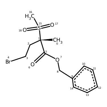 C[C@](CCBr)(C(=O)OCc1ccccc1)S(C)(=O)=O